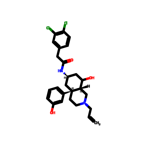 C=CCN1CC[C@@]2(c3cccc(O)c3)C[C@H](NC(=O)Cc3ccc(Cl)c(Cl)c3)CC(O)[C@@H]2C1